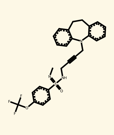 CN=S(=O)(NCC#CCN1c2ccccc2CCc2ccccc21)c1ccc(OC(F)(F)F)cc1